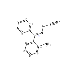 N#CC/N=C(\c1ccccc1)c1ccccc1N